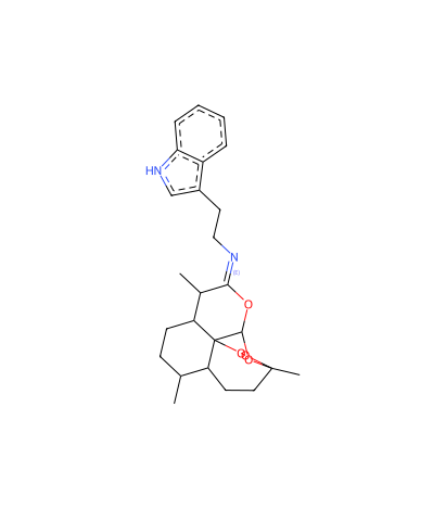 CC1CCC2C(C)/C(=N\CCc3c[nH]c4ccccc34)OC3OC4(C)CCC1C32OO4